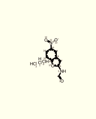 Cl.Cl.Cl.O=CNc1cc2cc([N+](=O)[O-])ccc2o1